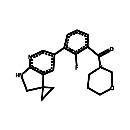 O=C(c1cccc(-c2cnc3c(c2)C2(CC2)CN3)c1F)N1CCCOC1